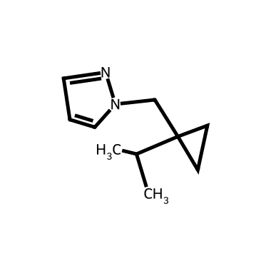 CC(C)C1(Cn2cccn2)CC1